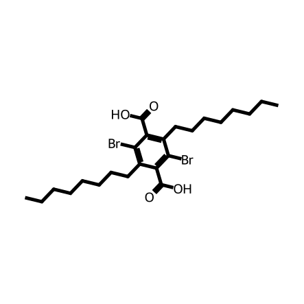 CCCCCCCCc1c(Br)c(C(=O)O)c(CCCCCCCC)c(Br)c1C(=O)O